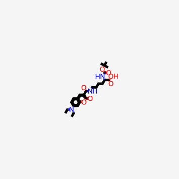 CCN(CC)c1ccc2cc(C(=O)NCCCCC(NC(=O)OC(C)(C)C)C(=O)O)c(=O)oc2c1